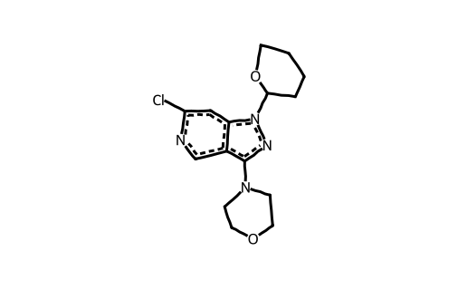 Clc1cc2c(cn1)c(N1CCOCC1)nn2C1CCCCO1